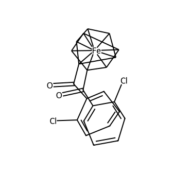 O=C(c1ccccc1Cl)[C]12[CH]3[CH]4[CH]5[CH]1[Fe]45321678[CH]2[CH]1[CH]6[C]7(C(=O)c1ccccc1Cl)[CH]28